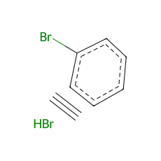 Br.Brc1ccccc1.C#C